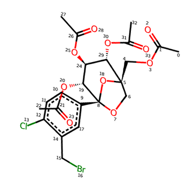 CC(=O)OC[C@@]12CO[C@@](c3ccc(Cl)c(CBr)c3)(O1)[C@H](OC(C)=O)[C@@H](OC(C)=O)[C@@H]2OC(C)=O